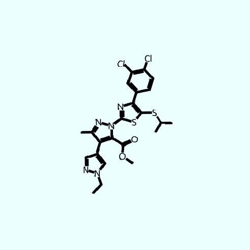 CCn1cc(-c2c(C)nn(-c3nc(-c4ccc(Cl)c(Cl)c4)c(SC(C)C)s3)c2C(=O)OC)cn1